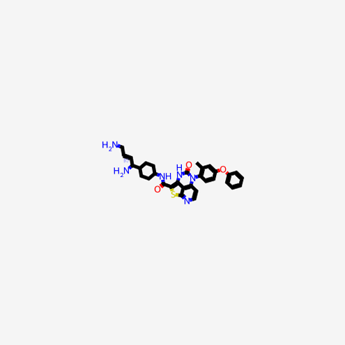 Cc1cc(Oc2ccccc2)ccc1N1C(=O)Nc2c(C(=O)NC3CCC(C(N)/C=C/CN)CC3)sc3nccc1c23